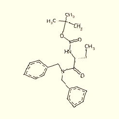 CC[C@@H](NC(=O)OC(C)(C)C)C(=O)N(Cc1ccccc1)Cc1ccccc1